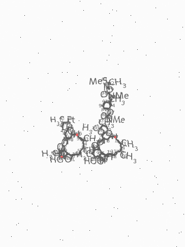 CC1=C[C@H]2C(=O)O[C@H]3C[C@@H](C/C=C(\C)C[C@@H](C)/C=C/C=C4\CO[C@H]([C@@H]1O)[C@@]42O)O[C@@]1(CC[C@H](C)[C@@H](C)O1)C3.CC[C@H]1O[C@]2(CC[C@@H]1C)C[C@@H]1C[C@@H](C/C=C(\C)C[C@@H](C)/C=C/C=C3\CO[C@@H]4[C@H](O)C(C)=C[C@@H](C(=O)O1)[C@]34O)O2.CNC(=O)O/N=C(\C)SC.CNC(=O)Oc1cccc(C)c1